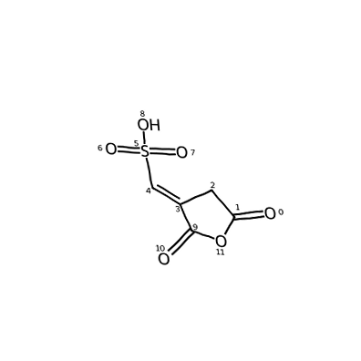 O=C1CC(=CS(=O)(=O)O)C(=O)O1